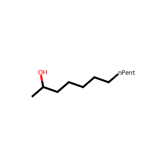 [CH2]CCCCCCCCCC(C)O